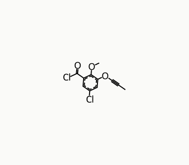 CC#COc1cc(Cl)cc(C(=O)Cl)c1OC